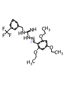 CCOc1cc(OCC)c(/C=N/NC(=N)NCc2cccc(C(F)(F)F)c2)c(OCC)c1